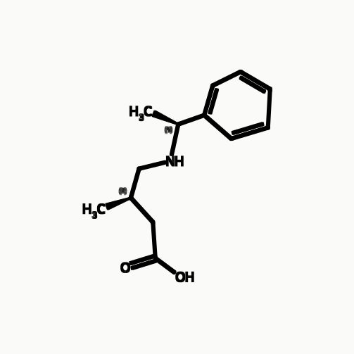 C[C@@H](CN[C@@H](C)c1ccccc1)CC(=O)O